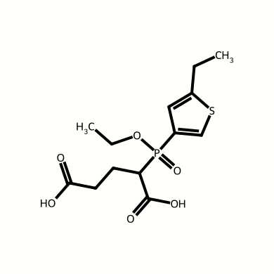 CCOP(=O)(c1csc(CC)c1)C(CCC(=O)O)C(=O)O